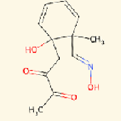 CC(=O)C(=O)CC1(O)C=CC=CC1(C)C=NO